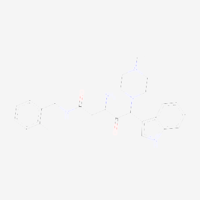 CN1CCN(C(C(=O)C(N)CC(=O)NCc2ccccc2Cl)c2c[nH]c3ccccc23)CC1